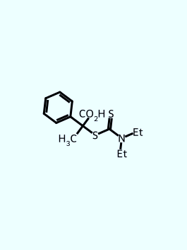 CCN(CC)C(=S)SC(C)(C(=O)O)c1ccccc1